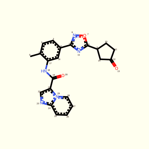 Cc1ccc(-c2noc(C3CCC(=O)C3)n2)cc1NC(=O)c1cnc2ccccn12